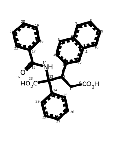 O=C(O)CC(c1ccc2ccccc2c1)C(NC(=O)c1ccccc1)(C(=O)O)c1ccccc1